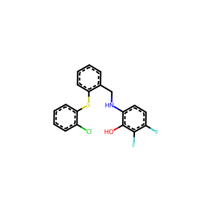 Oc1c(NCc2ccccc2Sc2ccccc2Cl)ccc(F)c1F